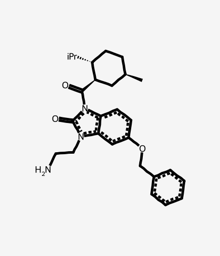 CC(C)[C@@H]1CC[C@@H](C)C[C@H]1C(=O)n1c(=O)n(CCN)c2cc(OCc3ccccc3)ccc21